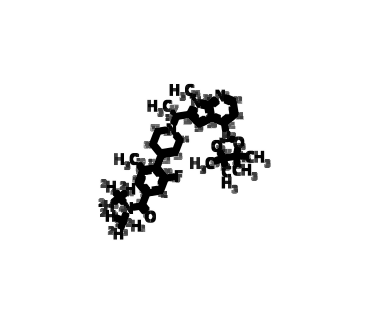 [2H]C([2H])([2H])N(C(=O)c1cc(C)c(C2=CCN([C@@H](C)c3cc4c(B5OC(C)(C)C(C)(C)O5)ccnc4n3C)CC2)c(F)c1)C([2H])([2H])[2H]